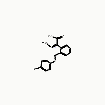 CNC(=O)/C(=N\OC)c1ccccc1COc1ccc(Br)cc1